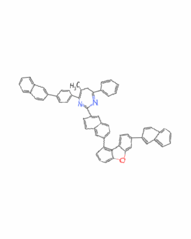 CC1=C(c2ccc(-c3ccc4ccccc4c3)cc2)N=C(c2ccc3cc(-c4cccc5oc6cc(-c7ccc8ccccc8c7)ccc6c45)ccc3c2)N=C(c2ccccc2)C1